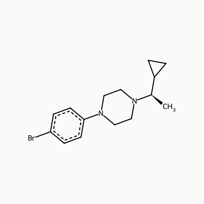 C[C@H](C1CC1)N1CCN(c2ccc(Br)cc2)CC1